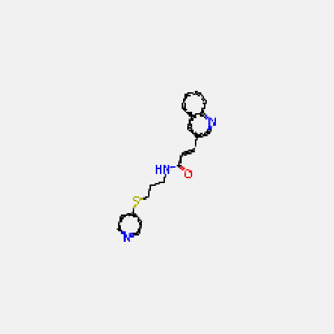 O=C(C=Cc1cnc2ccccc2c1)NCCCSc1ccncc1